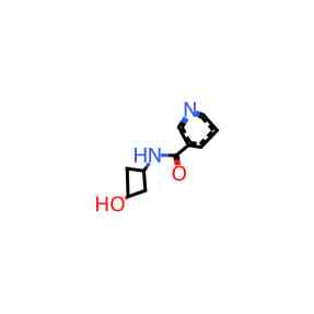 O=C(NC1CC(O)C1)c1cccnc1